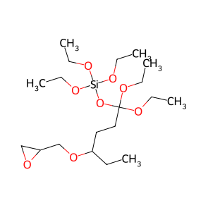 CCOC(CCC(CC)OCC1CO1)(OCC)O[Si](OCC)(OCC)OCC